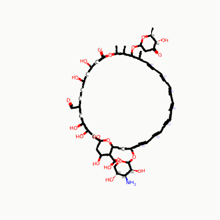 CC1/C=C/C=C/C=C/C=C/C=C/C=C/C=C/C(OC2OC[C@@H](O)[C@H](N)[C@@H]2O)CC2OC(O)(CC(O)C(O)CC(C=O)CCC(O)CC(O)CC(=O)OC(C)C(C)C1OC1CC(=O)[C@@H](O)[C@H](C)O1)CC(O)C2C(=O)O